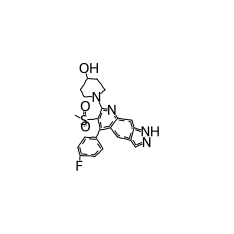 CS(=O)(=O)c1c(N2CCC(O)CC2)nc2cc3[nH]ncc3cc2c1-c1ccc(F)cc1